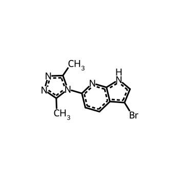 Cc1nnc(C)n1-c1ccc2c(Br)c[nH]c2n1